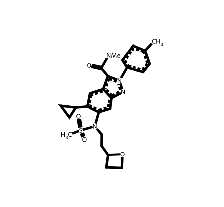 CNC(=O)c1c2cc(C3CC3)c(N(CCC3CCO3)S(C)(=O)=O)cc2nn1-c1ccc(C)cc1